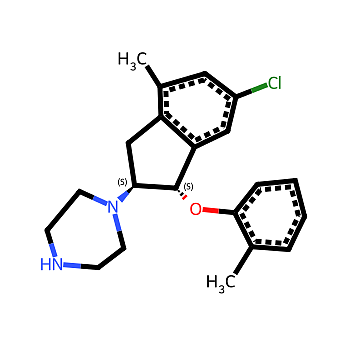 Cc1ccccc1O[C@H]1c2cc(Cl)cc(C)c2C[C@@H]1N1CCNCC1